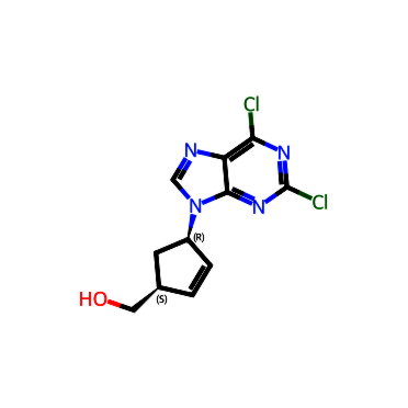 OC[C@@H]1C=C[C@H](n2cnc3c(Cl)nc(Cl)nc32)C1